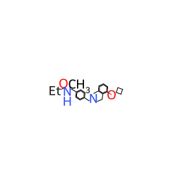 CCC(=O)N[C@@H](C)c1ccc(CN2CCc3c(cccc3OC3CCC3)C2)cc1